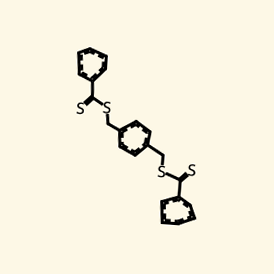 S=C(SCc1ccc(CSC(=S)c2ccccc2)cc1)c1ccccc1